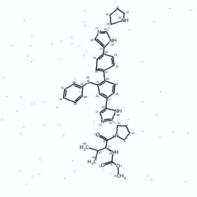 COC(=O)N[C@H](C(=O)N1CCC[C@H]1c1ncc(-c2ccc(-c3ccc(-c4cnc([C@@H]5CCCN5)[nH]4)cc3)c(Sc3ccccc3)c2)[nH]1)C(C)C